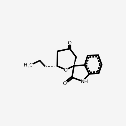 CCC[C@@H]1CC(=O)C[C@]2(O1)C(=O)Nc1ccccc12